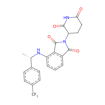 C[C@H](Nc1cccc2c1C(=O)N(C1CCC(=O)NC1=O)C2=O)c1ccc(C(F)(F)F)cc1